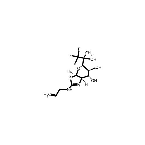 C=CCNC1=N[C@@H]2[C@@H](O)[C@H](O)[C@@H]([C@@](C)(O)C(F)(F)F)O[C@@H]2S1